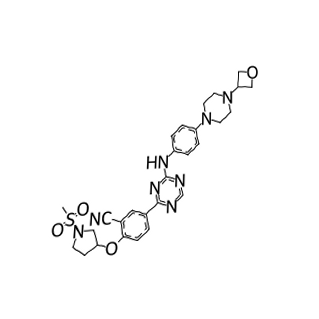 CS(=O)(=O)N1CCC(Oc2ccc(-c3ncnc(Nc4ccc(N5CCN(C6COC6)CC5)cc4)n3)cc2C#N)C1